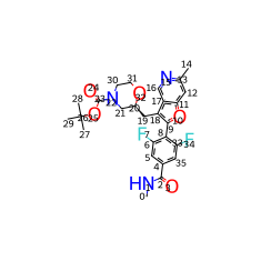 CNC(=O)c1cc(F)c(-c2oc3cc(C)ncc3c2C[C@H]2CN(C(=O)OC(C)(C)C)CCO2)c(F)c1